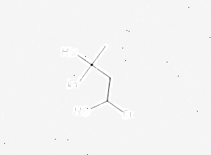 CCC(O)CC(C)(O)C(C)C